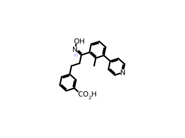 Cc1c(/C(CCc2cccc(C(=O)O)c2)=N\O)cccc1-c1ccncc1